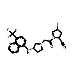 N#CC1C[C@H](F)CN1C(=O)CN1CC[C@@H](Nc2ccc(C(F)(F)F)c3ncccc23)C1